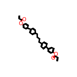 C=CC(=O)Oc1ccc(-c2ccc(CCCCc3ccc(-c4ccc(OC(=O)C=C)cc4)cc3)cc2)cc1